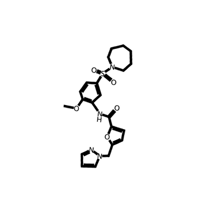 COc1ccc(S(=O)(=O)N2CCCCCC2)cc1NC(=O)c1ccc(Cn2cccn2)o1